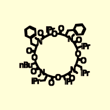 CCCCC1OC(=O)C(Cc2ccccc2)N(C)C(=O)C(C(C)C)OC(=O)C(Cc2ccccc2)N(C)C(=O)C(C(C)C)OC(=O)C(CC(C)C)N(C)C(=O)C(C(C)C)OC(=O)C(CC(C)C)N(C)C1=O